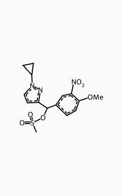 COc1ccc(C(OS(C)(=O)=O)c2ccn(C3CC3)n2)cc1[N+](=O)[O-]